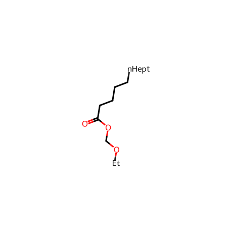 CCCCCCCCCCCC(=O)OCOCC